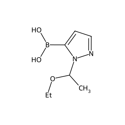 CCOC(C)n1nccc1B(O)O